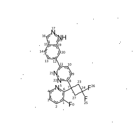 Fc1cccnc1C1(c2ccc(-c3ccc4cn[nH]c4c3)nn2)CC(F)(F)C1